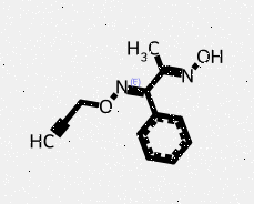 C#CCO/N=C(/C(C)=NO)c1ccccc1